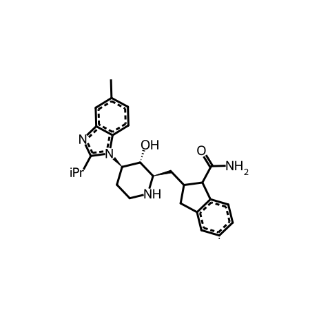 Cc1ccc2c(c1)nc(C(C)C)n2[C@@H]1CCN[C@H](CC2Cc3c[c]ccc3C2C(N)=O)[C@H]1O